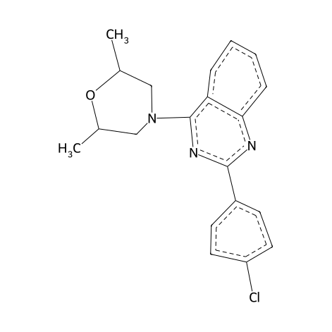 CC1CN(c2nc(-c3ccc(Cl)cc3)nc3ccccc23)CC(C)O1